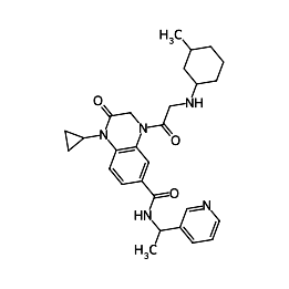 CC1CCCC(NCC(=O)N2CC(=O)N(C3CC3)c3ccc(C(=O)NC(C)c4cccnc4)cc32)C1